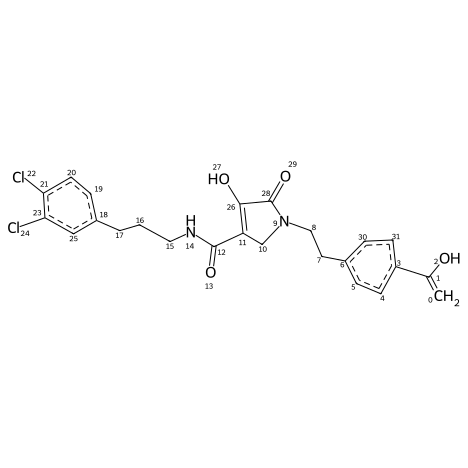 C=C(O)c1ccc(CCN2CC(C(=O)NCCCc3ccc(Cl)c(Cl)c3)=C(O)C2=O)cc1